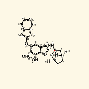 CC(=O)NC1C[C@H]2CC[C@@H](C1)N2Cc1cc2cc(Oc3nc4cnccc4s3)ccc2o1.O=CO